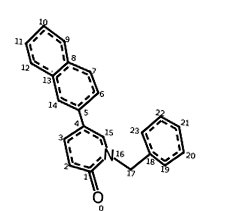 O=c1ccc(-c2ccc3ccccc3c2)cn1Cc1ccccc1